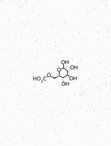 O=C(O)OC[C@H]1OC(O)[C@H](O)[C@@H](O)[C@@H]1O